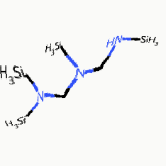 [SiH3]NCN([SiH3])CN([SiH3])[SiH3]